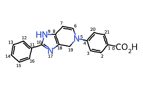 O=C(O)c1ccc(N2C=Cc3[nH]c(-c4ccccc4)nc3C2)cc1